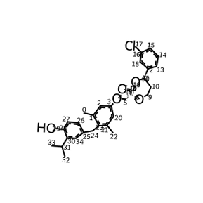 Cc1cc(OC[P@@]2(=O)OCC[C@H](c3cccc(Cl)c3)O2)cc(C)c1Cc1ccc(O)c(C(C)C)c1